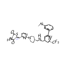 CN(C)c1cccc(-c2cc(CNCC3CCN(c4nccc(/C=C5\SC(=O)NC5=O)n4)CC3)cc(C(F)(F)F)n2)c1